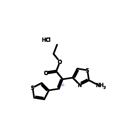 CCOC(=O)/C(=C\c1ccsc1)c1csc(N)n1.Cl